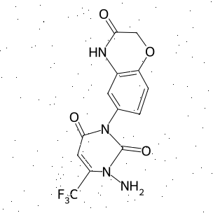 Nn1c(C(F)(F)F)cc(=O)n(-c2ccc3c(c2)NC(=O)CO3)c1=O